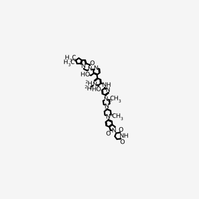 [2H]C([2H])([2H])n1cc(-c2ccnc(N3CCn4c(cc5c4CC(C)(C)C5)C3=O)c2CO)cc(Nc2ccc(N3CCN([C@H]4CCN(c5ccc6c(c5)CN(C5CCC(=O)NC5=O)C6=O)[C@@H](C)C4)C[C@@H]3C)cn2)c1=O